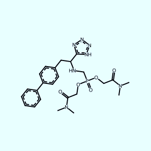 CN(C)C(=O)COP(=O)(CNC(Cc1ccc(-c2ccccc2)cc1)c1nnn[nH]1)OCC(=O)N(C)C